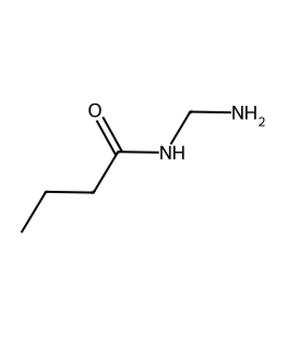 CCCC(=O)NCN